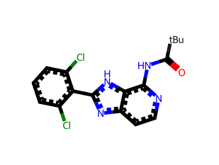 CC(C)(C)C(=O)Nc1nccc2nc(-c3c(Cl)cccc3Cl)[nH]c12